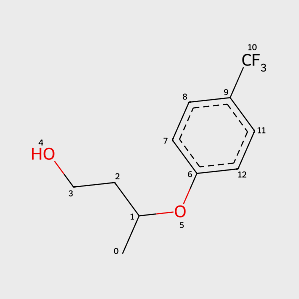 CC(CCO)Oc1ccc(C(F)(F)F)cc1